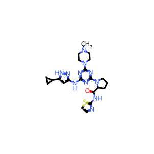 CN1CCN(c2nc(Nc3cc(C4CC4)[nH]n3)nc(N3CCCC3C(=O)Nc3nccs3)n2)CC1